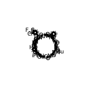 CCC(C)[C@@H]1NC(=O)[C@H](C)N(C)C(=O)C[C@@H](C)N(C)C(=O)[C@H](C(C)C)N(C)C(=O)C2(CCCC2)NC(=O)[C@@H]2CCCN2C(=O)[C@H](CCc2ccc(C(F)(F)F)c(Cl)c2)NC(=O)CN(C)C(=O)[C@H](CC2CCCCC2)N(C)C(=O)CN(C)C(=O)CN(C)C1=O